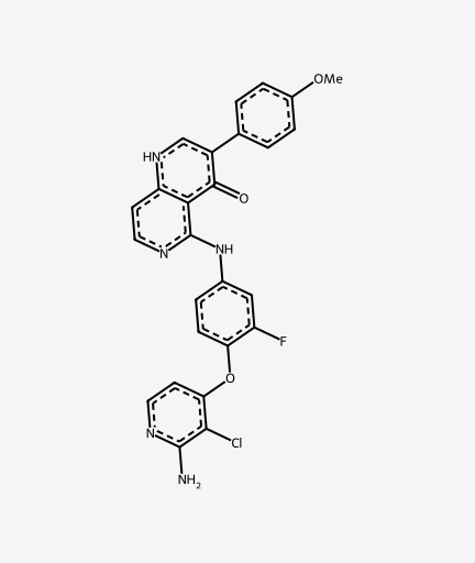 COc1ccc(-c2c[nH]c3ccnc(Nc4ccc(Oc5ccnc(N)c5Cl)c(F)c4)c3c2=O)cc1